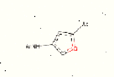 CC(=O)Nc1coc(C(C)=O)c1